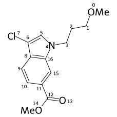 COCCCn1cc(Cl)c2ccc(C(=O)OC)cc21